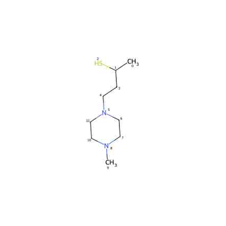 CC(S)CCN1CCN(C)CC1